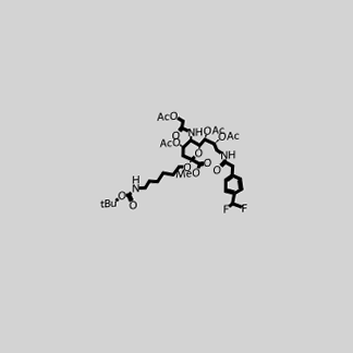 COC(=O)[C@@]1(OCCCCCCNC(=O)OC(C)(C)C)C[C@H](OC(C)=O)[C@@H](NC(=O)COC(C)=O)[C@H]([C@H](OC(C)=O)[C@@H](CNC(=O)Cc2ccc(C(F)F)cc2)OC(C)=O)O1